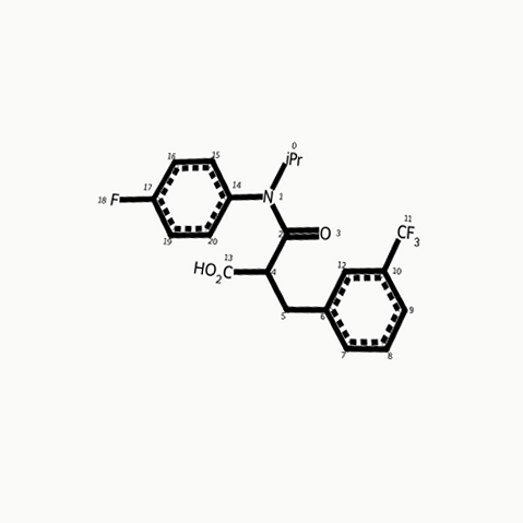 CC(C)N(C(=O)C(Cc1cccc(C(F)(F)F)c1)C(=O)O)c1ccc(F)cc1